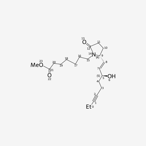 CCC#CCC[C@H](O)C=C[C@H]1CCC(=O)N1CCCCCCC(=O)OC